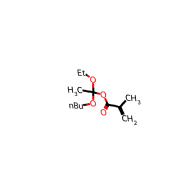 C=C(C)C(=O)OC(C)(OCC)OCCCC